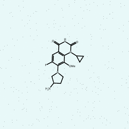 COc1c(N2CCC(N)C2)c(F)cc2c(=O)[nH]c(=O)n(C3CC3)c12